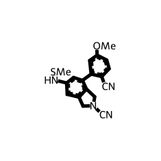 COc1ccc(C#N)c(-c2cc(NSC)cc3c2CN(C#N)C3)c1